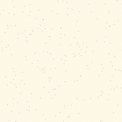 O=C(c1ccc2c(c1)Cc1c([nH]c(=S)[nH]c1=O)O2)c1ncc[nH]1